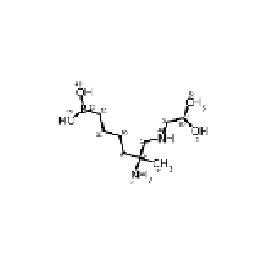 C[C@@H](O)CNCC(C)(N)CCCCB(O)O